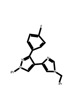 CC(C)Cn1cnc(-c2cn(C(C)C)nc2-c2ccc(F)cc2)c1